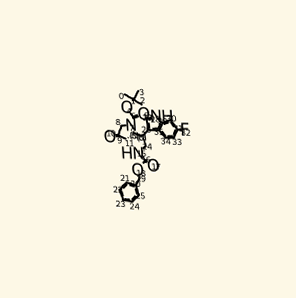 CC(C)(C)OC(=O)N1CC(=O)C[C@H]1[C@H](CNC(=O)OCc1ccccc1)c1c[nH]c2cc(F)ccc12